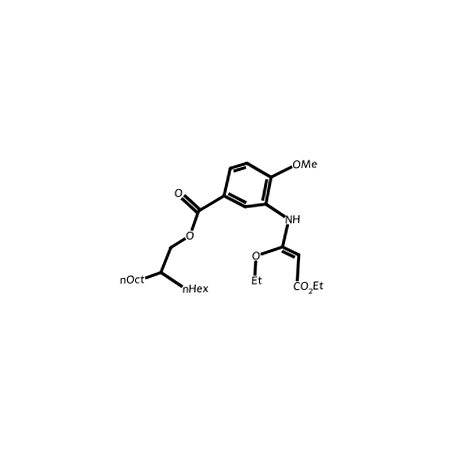 CCCCCCCCC(CCCCCC)COC(=O)c1ccc(OC)c(NC(=CC(=O)OCC)OCC)c1